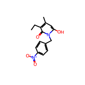 CCc1c(C)cc(O)n(Cc2ccc([N+](=O)[O-])cc2)c1=O